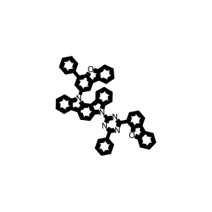 c1ccc(-c2nc(-c3cccc4c3oc3ccccc34)nc(-n3c4ccccc4c4c3ccc3c5ccccc5n(-c5cc(-c6ccccc6)c6oc7ccccc7c6c5)c34)n2)cc1